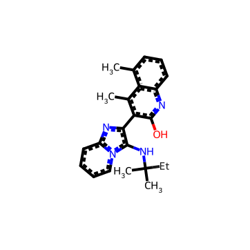 CCC(C)(C)Nc1c(-c2c(O)nc3cccc(C)c3c2C)nc2ccccn12